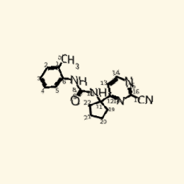 Cc1ccccc1NC(=O)NC1(c2ccnc(C#N)n2)CCCC1